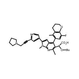 Cc1nc2c(cc(-c3ccnc(C#CCN4CCCC4)c3)n2C)c(-c2cc(F)c3c(c2C)CCCO3)c1[C@H](OC(C)(C)C)C(=O)O